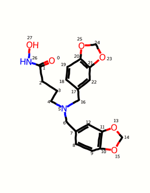 O=C(CCCN(Cc1ccc2c(c1)OCO2)Cc1ccc2c(c1)OCO2)NO